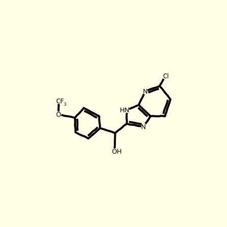 OC(c1ccc(OC(F)(F)F)cc1)c1nc2ccc(Cl)nc2[nH]1